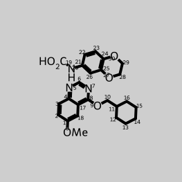 COc1ccc2ncnc(OCC3CCCCC3)c2c1.O=C(O)Nc1ccc2c(c1)OCCO2